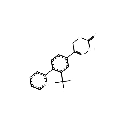 O=C1NN=C(c2ccc(-c3ccccn3)c(C(F)(F)F)c2)CO1